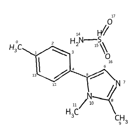 Cc1ccc(-c2cnc(C)n2C)cc1.N[SH](=O)=O